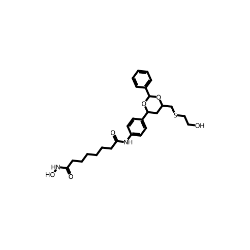 O=C(CCCCCCC(=O)Nc1ccc(C2CC(CSCCO)OC(c3ccccc3)O2)cc1)NO